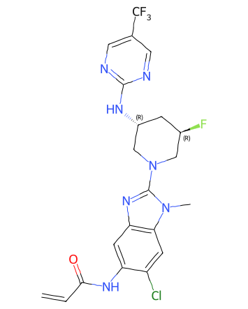 C=CC(=O)Nc1cc2nc(N3C[C@H](F)C[C@@H](Nc4ncc(C(F)(F)F)cn4)C3)n(C)c2cc1Cl